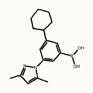 Cc1cc(C)n(-c2cc(B(O)O)cc(C3CCCCC3)c2)n1